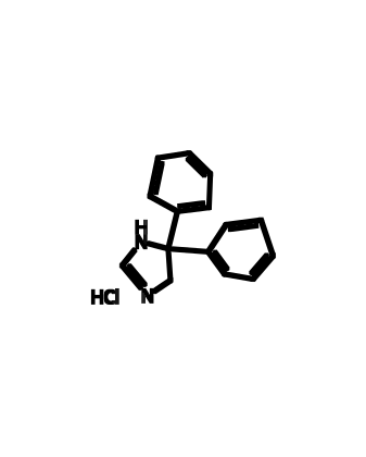 C1=NCC(c2ccccc2)(c2ccccc2)N1.Cl